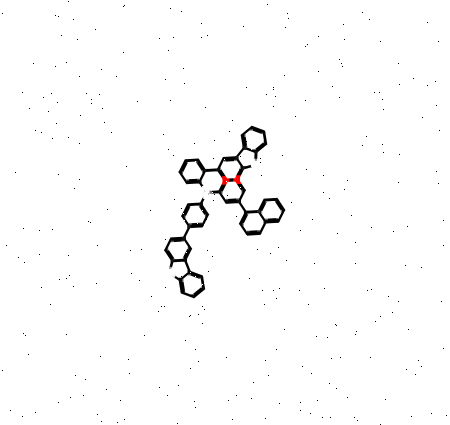 c1cc(-c2cccc3ccccc23)cc(N(c2ccc(-c3ccc4oc5ccccc5c4c3)cc2)c2ccccc2-c2ccc3sc4ccccc4c3c2)c1